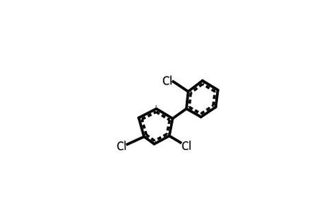 Clc1c[c]c(-c2ccccc2Cl)c(Cl)c1